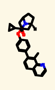 Cc1c(-c2ccc(O[C@H]3CC4CC[C@@H](C3)N4C(=O)C3CC3)cc2)ccc2cccnc12